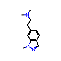 CN(C)CCc1ccc2cnn(C)c2c1